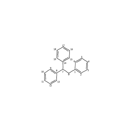 [C](c1ccccc1)C(c1ccccc1)c1ccccc1